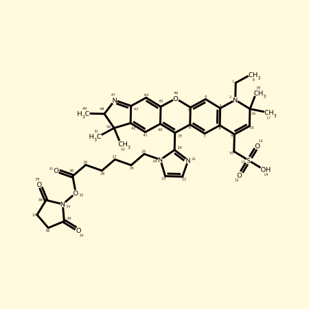 CCN1c2cc3c(cc2C(CS(=O)(=O)O)=CC1(C)C)C(c1nccn1CCCCCC(=O)ON1C(=O)CCC1=O)=c1cc2c(cc1O3)=NC(C)C2(C)C